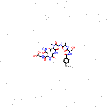 CCCCCCc1ccc(C(=O)N[C@H](CO)C(=O)N[C@H](C)C(=O)NCC(=O)N(C)[C@H](C(=O)N[C@@H](C)C(=O)N[C@@H](CC(N)=O)C(=O)NCB(O)O)C(C)O)cc1